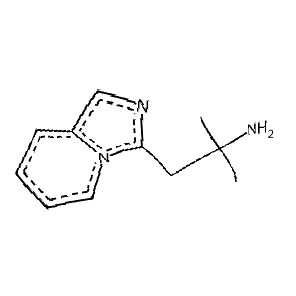 CC(C)(N)Cc1ncc2ccccn12